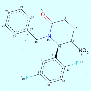 O=C1CCC([N+](=O)[O-])[C@@H](c2cc(F)ccc2F)N1Cc1ccccc1